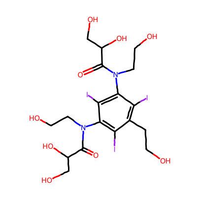 O=C(C(O)CO)N(CCO)c1c(I)c(CCO)c(I)c(N(CCO)C(=O)C(O)CO)c1I